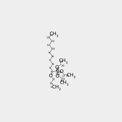 C=CCOC(CCCCCCCCCC)[Si](OCC)(OCC)OCC